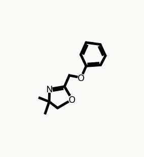 CC1(C)COC(COc2ccccc2)=N1